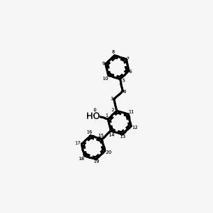 Oc1c(CCc2ccccc2)cccc1-c1ccccc1